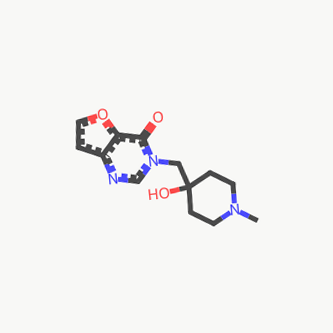 CN1CCC(O)(Cn2cnc3ccoc3c2=O)CC1